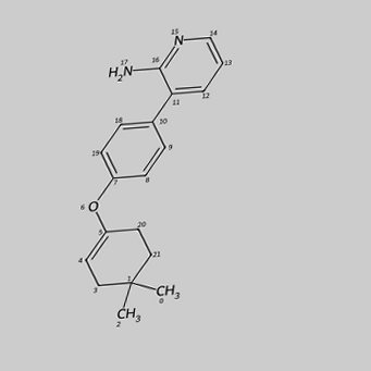 CC1(C)CC=C(Oc2ccc(-c3cccnc3N)cc2)CC1